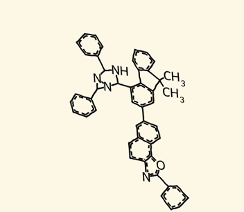 CC1(C)c2ccccc2-c2c(C3NC(c4ccccc4)N4C(c5ccccc5)N34)cc(-c3ccc4c(ccc5nc(-c6ccccc6)oc54)c3)cc21